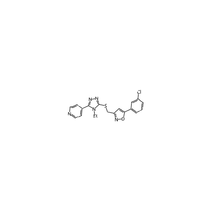 CCn1c(SCc2cc(-c3cccc(Cl)c3)on2)nnc1-c1ccncc1